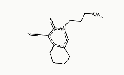 CCCCn1cc2c(c(C#N)c1=S)CCCC2